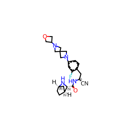 N#C[C@H](Cc1ccc(N2CC3(C2)CN(C2COC2)C3)cc1F)NC(=O)[C@H]1N[C@@H]2CC[C@H]1C2